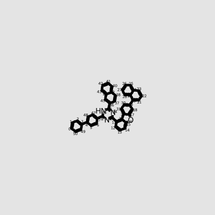 c1ccc(-c2ccc(C3N=C(c4cccc5oc6cc(-c7cccc8ccccc78)ccc6c45)N=C(c4ccc5ccccc5c4)N3)cc2)cc1